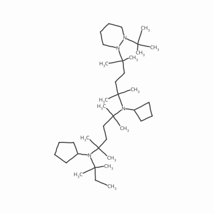 CCC(C)(C)N(C1CCCC1)C(C)(C)CCC(C)(C)N(C1CCC1)C(C)(C)CCC(C)(C)N1CCCCN1C(C)(C)C